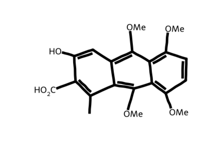 COc1ccc(OC)c2c(OC)c3c(C)c(C(=O)O)c(O)cc3c(OC)c12